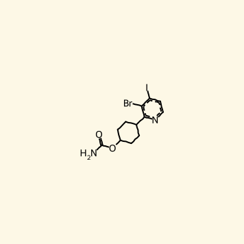 NC(=O)OC1CCC(c2nccc(I)c2Br)CC1